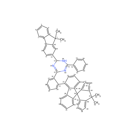 CC1(C)c2ccccc2-c2ccc(C3N=C(c4ccccc4-c4cccc5c4-c4ccccc4C54c5ccccc5C(C)(C)c5ccccc54)N=C(c4ccccc4)N3)cc21